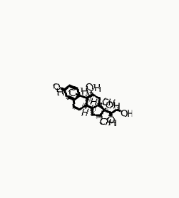 CC12C=CC(=O)C=C1CC[C@@H]1[C@@H]2[C@@H](O)C[C@@]2(C)[C@H]1C[C@@H](O)[C@]2(O)C(=O)CO